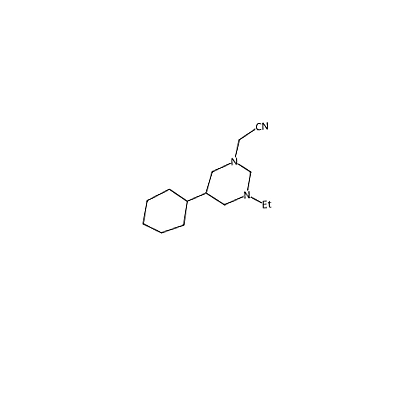 CCN1CC(C2CCCCC2)CN(CC#N)C1